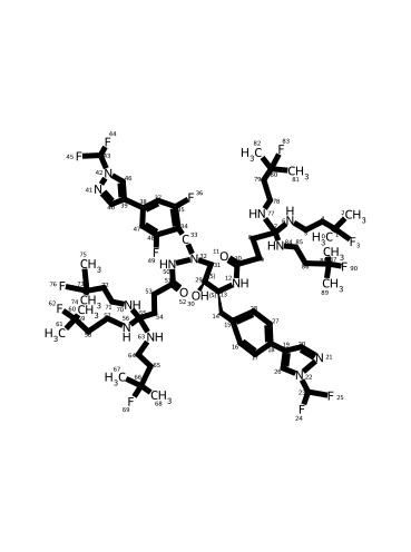 CC(C)(F)CCNC(CCC(=O)N[C@@H](Cc1ccc(-c2cnn(C(F)F)c2)cc1)[C@@H](O)CN(Cc1c(F)cc(-c2cnn(C(F)F)c2)cc1F)NC(=O)CCC(NCCC(C)(C)F)(NCCC(C)(C)F)NCCC(C)(C)F)(NCCC(C)(C)F)NCCC(C)(C)F